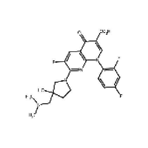 CN(C)CC1(O)CCN(c2nc3c(cc2F)c(=O)c(C(=O)O)cn3-c2ccc(F)cc2F)C1